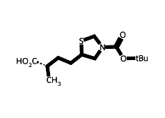 C[C@@H](CCC1CN(C(=O)OC(C)(C)C)CS1)C(=O)O